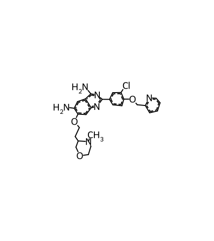 CN1CCOCC1CCOc1cc2nc(-c3ccc(OCc4ccccn4)c(Cl)c3)nc(N)c2cc1N